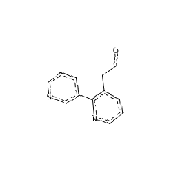 O=CCc1cccnc1-c1cccnc1